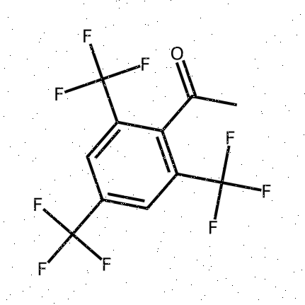 CC(=O)c1c(C(F)(F)F)cc(C(F)(F)F)cc1C(F)(F)F